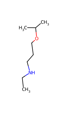 CCNCCCOC(C)C